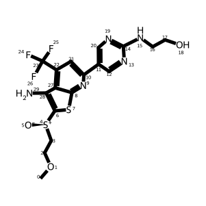 COCC[S@@+]([O-])c1sc2nc(-c3cnc(NCCO)nc3)cc(C(F)(F)F)c2c1N